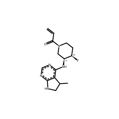 C=CC(=O)N1CC[C@@H](F)[C@@H](Nc2ncnc3c2C(C)CN3)C1